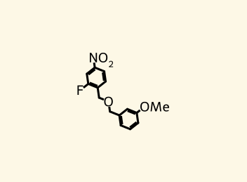 COc1cccc(COCc2ccc([N+](=O)[O-])cc2F)c1